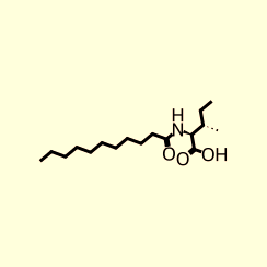 CCCCCCCCCCC(=O)N[C@H](C(=O)O)[C@@H](C)CC